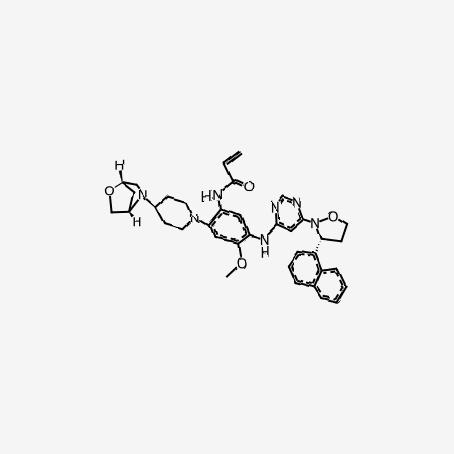 C=CC(=O)Nc1cc(Nc2cc(N3OCC[C@@H]3c3cccc4ccccc34)ncn2)c(OC)cc1N1CCC(N2C[C@@H]3C[C@H]2CO3)CC1